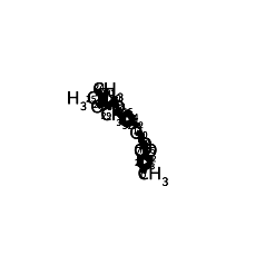 Cc1ccc(S(=O)(=O)OCCOCc2ccc(COc3cnn(C(C)C)c(=O)c3Cl)cc2)cc1